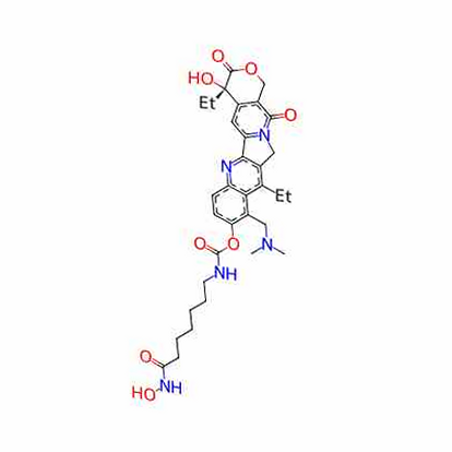 CCc1c2c(nc3ccc(OC(=O)NCCCCCCC(=O)NO)c(CN(C)C)c13)-c1cc3c(c(=O)n1C2)COC(=O)[C@]3(O)CC